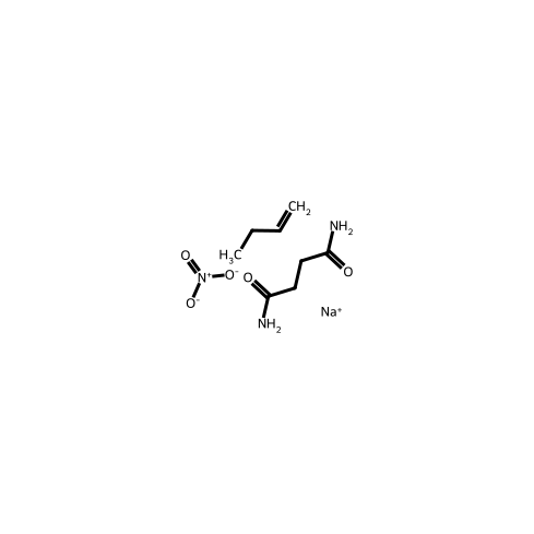 C=CCC.NC(=O)CCC(N)=O.O=[N+]([O-])[O-].[Na+]